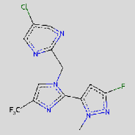 Cn1nc(F)cc1-c1nc(C(F)(F)F)cn1Cc1ncc(Cl)cn1